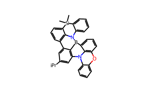 CC(C)c1cc2c3c(c1)N1c4ccccc4Oc4cccc(c41)B3N1c3ccccc3[Si](C)(C)c3cccc-2c31